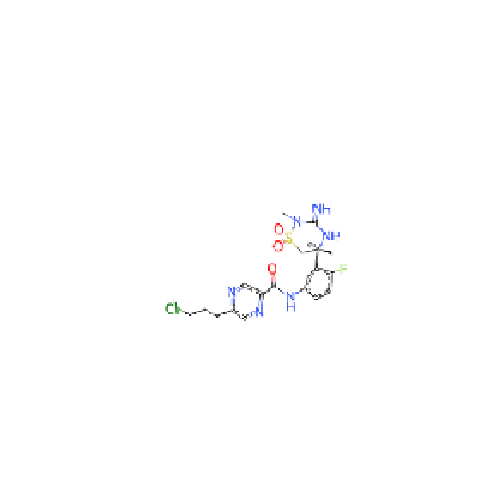 CN1C(=N)N[C@](C)(c2cc(NC(=O)c3cnc(CCCCl)cn3)ccc2F)CS1(=O)=O